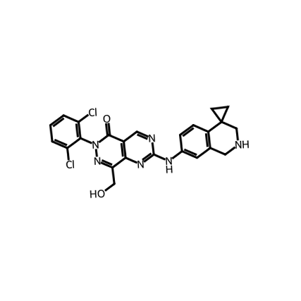 O=c1c2cnc(Nc3ccc4c(c3)CNCC43CC3)nc2c(CO)nn1-c1c(Cl)cccc1Cl